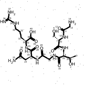 C[C@@H](O)[C@H](NC(=O)[C@H](CO)NC(=O)CN)C(=O)NCC(=O)N[C@@H](CC(N)=O)C(=O)N[C@@H](CCCNC(=N)N)C(=O)O